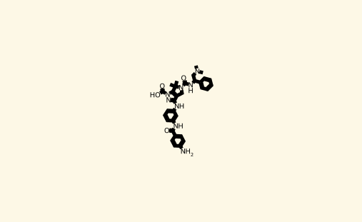 CN(C)CC(NC(=O)N1Cc2c(Nc3cccc(NC(=O)c4ccc(N)cc4)c3)nn(C(=O)O)c2C1(C)C)c1ccccc1